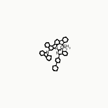 CC1(C)c2ccccc2-c2ccc3c4c5ccccc5c(-n5c6ccccc6c6ccccc65)cc4n(-c4nc(-c5ccc(-c6ccccc6)cc5)c5ccccc5n4)c3c21